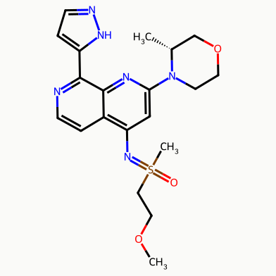 COCCS(C)(=O)=Nc1cc(N2CCOC[C@H]2C)nc2c(-c3ccn[nH]3)nccc12